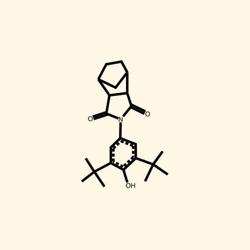 CC(C)(C)c1cc(N2C(=O)C3C4CCC(C4)C3C2=O)cc(C(C)(C)C)c1O